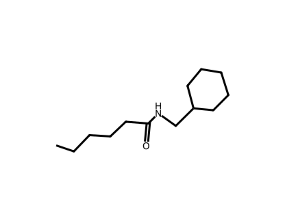 CCCCCC(=O)NCC1CCCCC1